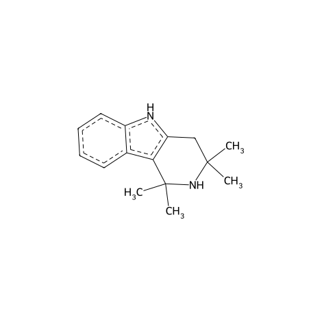 CC1(C)Cc2[nH]c3ccccc3c2C(C)(C)N1